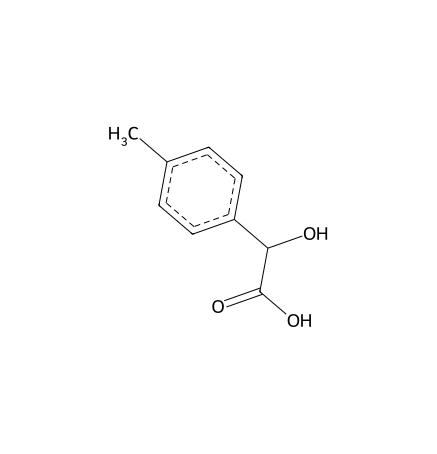 Cc1ccc(C(O)C(=O)O)cc1